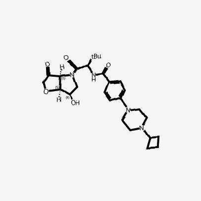 CC(C)(C)C(NC(=O)c1ccc(N2CCN(C3CCC3)CC2)cc1)C(=O)N1C[C@@H](O)[C@H]2OCC(=O)[C@H]21